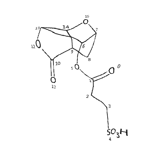 O=C(CCS(=O)(=O)O)OC1C2CC3C(=O)OC1C3O2